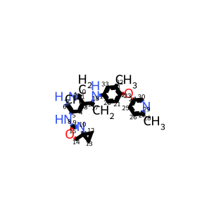 C=C(N)/C(=C\C(=C/C)NC1=NC2(CC2)CO1)C(=C)Nc1ccc(Oc2ccc(C)nc2)c(C)c1